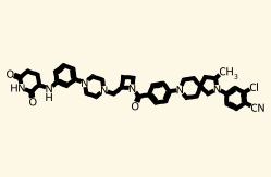 CC1CC2(CCN(c3ccc(C(=O)N4CCC4CN4CCN(c5cccc(NC6CCC(=O)NC6=O)c5)CC4)cc3)CC2)CN1c1ccc(C#N)c(Cl)c1